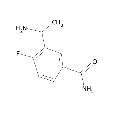 CC(N)c1cc(C(N)=O)ccc1F